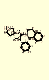 c1ccc([C@H]2c3ccccc3CCN2C2=NC[C@@]3(CCNC3)O2)cc1